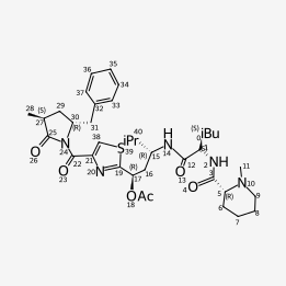 CC[C@H](C)[C@H](NC(=O)[C@H]1CCCCN1C)C(=O)N[C@H](C[C@@H](OC(C)=O)c1nc(C(=O)N2C(=O)[C@@H](C)C[C@@H]2Cc2ccccc2)cs1)C(C)C